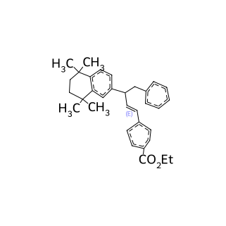 CCOC(=O)c1ccc(/C=C/C(Cc2ccccc2)c2ccc3c(c2)C(C)(C)CCC3(C)C)cc1